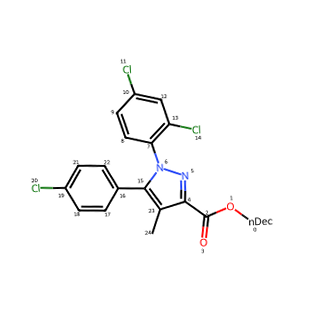 CCCCCCCCCCOC(=O)c1nn(-c2ccc(Cl)cc2Cl)c(-c2ccc(Cl)cc2)c1C